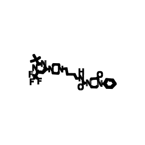 CC(C)(C)c1nc(N2CCN(CCCCNC(=O)N3CCN(c4ccccc4)C(=O)C3)CC2)cc(C(F)(F)F)n1